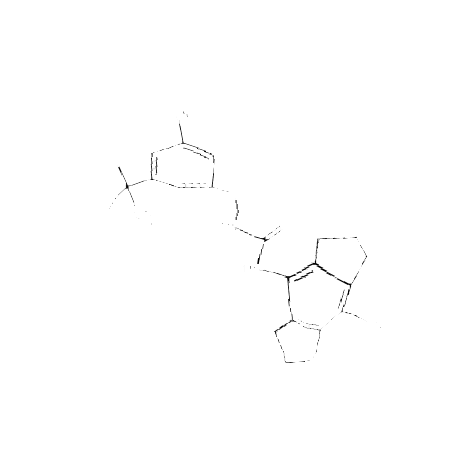 CC(C)(O)c1cc(C#N)cc(SNC(=O)Nc2c3c(c(C#N)c4c2CCC4)CCC3)c1